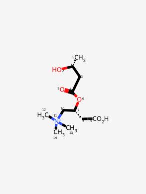 C[C@@H](O)CC(=O)O[C@H](CC(=O)O)C[N+](C)(C)C